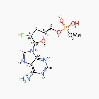 COP(=O)(O)OC[C@@H]1C[C@@H](F)[C@H](n2cnc3c(N)ncnc32)O1